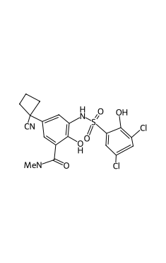 CNC(=O)c1cc(C2(C#N)CCC2)cc(NS(=O)(=O)c2cc(Cl)cc(Cl)c2O)c1O